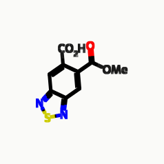 COC(=O)c1cc2nsnc2cc1C(=O)O